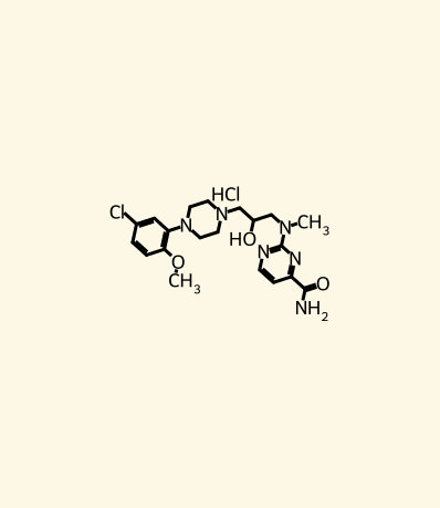 COc1ccc(Cl)cc1N1CCN(CC(O)CN(C)c2nccc(C(N)=O)n2)CC1.Cl